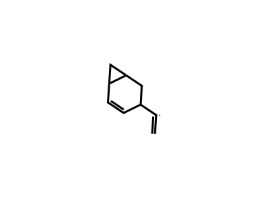 C=[C]C1C=CC2CC2C1